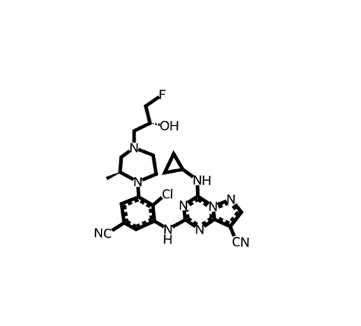 C[C@H]1CN(C[C@@H](O)CF)CCN1c1cc(C#N)cc(Nc2nc(NC3CC3)n3ncc(C#N)c3n2)c1Cl